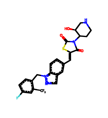 O=C1S/C(=C\c2ccc3c(cnn3Cc3ccc(F)cc3C(F)(F)F)c2)C(=O)N1C1CCNC[C@@H]1O